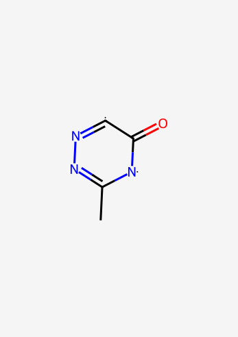 CC1=NN=[C]C(=O)[N]1